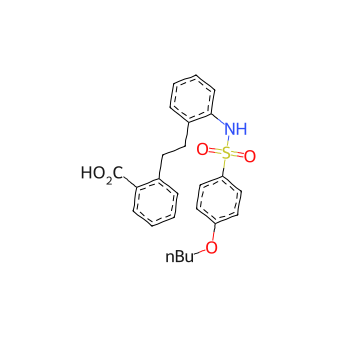 CCCCOc1ccc(S(=O)(=O)Nc2ccccc2CCc2ccccc2C(=O)O)cc1